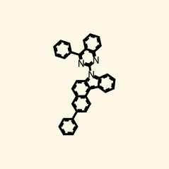 c1ccc(-c2ccc3c(ccc4c3c3ccccc3n4-c3nc(-c4ccccc4)c4ccccc4n3)c2)cc1